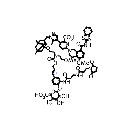 COCCN(CCOC12CC3(C)CC(C)(CC(Cn4ncc(-c5ccc(N6CCc7c(OC)ccc(C(=O)Nc8nc9ccccc9s8)c7C6)nc5C(=O)O)c4C)(C3)C1)C2)C(=O)OC/C=C/c1ccc(O[C@@H]2O[C@H](C(=O)O)[C@@H](O)[C@H](O)[C@H]2O)c(NC(=O)CCNC(=O)CCN2C(=O)C=CC2=O)c1